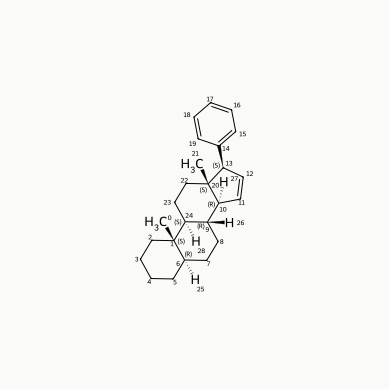 C[C@]12CCCC[C@@H]1CC[C@H]1[C@@H]3C=C[C@H](c4ccccc4)[C@@]3(C)CC[C@@H]12